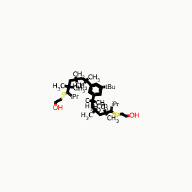 CC(C)C(SCCO)C(C)(C)CC(C)(C)CC(C)(C)c1cc(C(C)(C)C)cc(C(C)(C)CC(C)(C)CC(C)(C)C(SCCO)C(C)C)c1